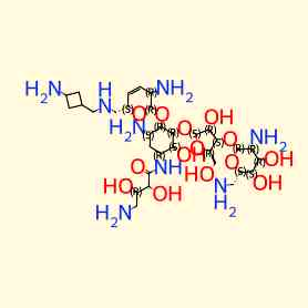 NC[C@@H](O)C(O)C(=O)N[C@@H]1C[C@H](N)[C@@H](O[C@H]2O[C@H](CNCC3CC(N)C3)C=C[C@H]2N)[C@H](O[C@@H]2O[C@H](CO)[C@@H](O[C@H]3O[C@@H](CN)[C@@H](O)[C@H](O)[C@H]3N)[C@H]2O)[C@H]1O